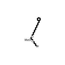 COC(COCCCCBr)COCCCCCCCCCCCCC1CCCCC1